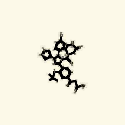 CC(C)(C)Oc1cc(C(=O)CC(=O)O)ccc1C1=N[C@@H](c2cnoc2)[C@@H](c2ccc(Cl)cc2)N1C(=O)N1CCNC(=O)C1